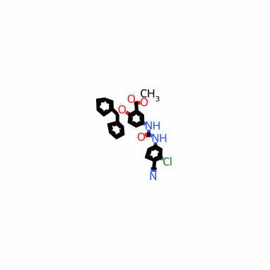 COC(=O)c1cc(NC(=O)Nc2ccc(C#N)c(Cl)c2)ccc1OC(c1ccccc1)c1ccccc1